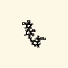 CCC1C(=O)N(CCCN2CCC3(CC3)[C@H](O[Si](C)(C)C(C)(C)C)C2)CCN1c1ccc(Cl)c(Cl)c1